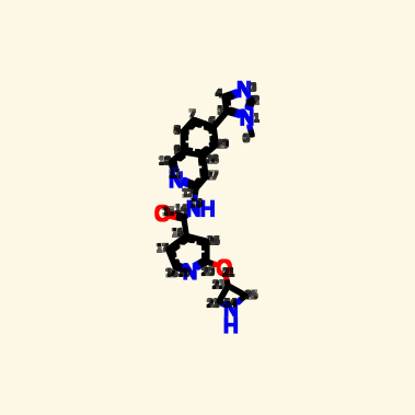 Cn1cncc1-c1ccc2cnc(NC(=O)c3ccnc(OC4CNC4)c3)cc2c1